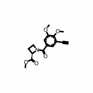 C#Cc1cc(C(=O)N2CC[C@@H]2C(=O)OC)cc(OC)c1OC